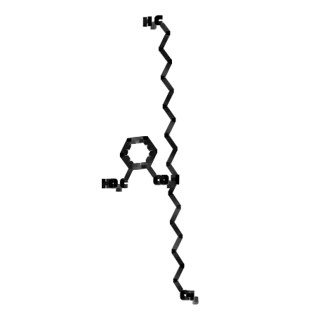 CCCCCCCCCCCCCCCCCCCC.O=C(O)c1ccccc1C(=O)O